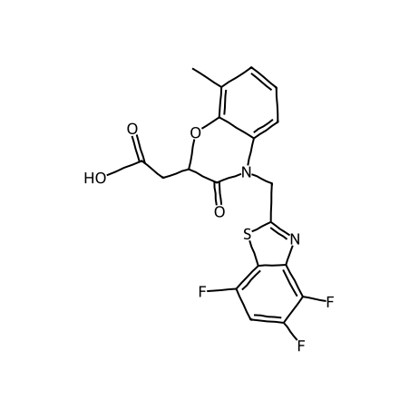 Cc1cccc2c1OC(CC(=O)O)C(=O)N2Cc1nc2c(F)c(F)cc(F)c2s1